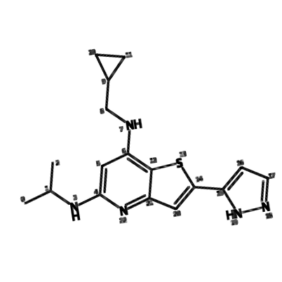 CC(C)Nc1cc(NCC2CC2)c2sc(-c3ccn[nH]3)cc2n1